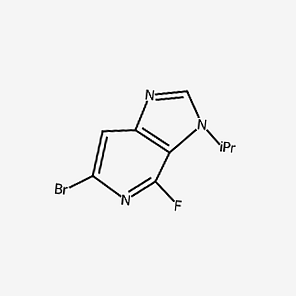 CC(C)n1cnc2cc(Br)nc(F)c21